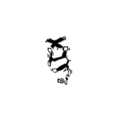 CC(C)(C)OC(=O)C[C@@H]1OC(C)(C)OC1=O